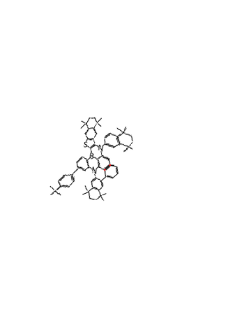 Cc1cc2c3c(c1)N(c1ccc4c(c1)C(C)(C)CCC4(C)C)c1c(sc4cc5c(cc14)C(C)(C)CCC5(C)C)B3c1ccc(-c3ccc(C(C)(C)C)cc3)cc1N2c1cc2c(cc1-c1ccccc1)C(C)(C)CCC2(C)C